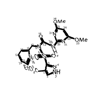 CCOC(=O)c1c[nH]nc1S(=O)(=O)N(Cc1ccccn1)C(=O)Nc1nc(OC)cc(OC)n1